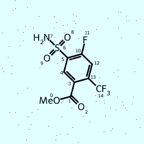 COC(=O)c1cc(S(N)(=O)=O)c(F)cc1C(F)(F)F